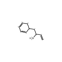 C=CC(N)CC1C=CC=CC1